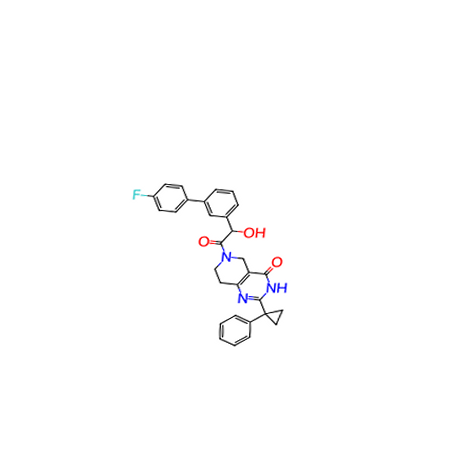 O=C(C(O)c1cccc(-c2ccc(F)cc2)c1)N1CCc2nc(C3(c4ccccc4)CC3)[nH]c(=O)c2C1